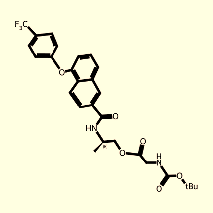 C[C@H](COC(=O)CNC(=O)OC(C)(C)C)NC(=O)c1ccc2c(Oc3ccc(C(F)(F)F)cc3)cccc2c1